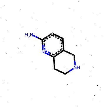 Nc1ccc2c(n1)CCNC2